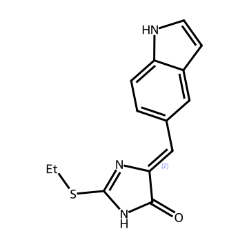 CCSC1=N/C(=C\c2ccc3[nH]ccc3c2)C(=O)N1